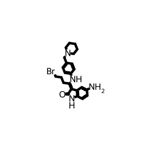 Nc1ccc2c(c1)C(=C(CCCBr)Nc1ccc(CN3CCCCC3)cc1)C(=O)N2